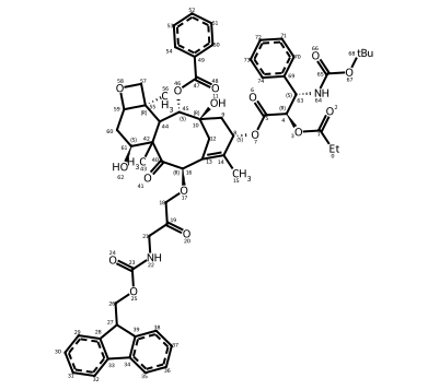 CCC(=O)O[C@@H](C(=O)O[C@H]1C[C@]2(O)CC(=C1C)[C@@H](OCC(=O)CNC(=O)OCC1c3ccccc3-c3ccccc31)C(=O)C1(C)C([C@@H]2OC(=O)c2ccccc2)[C@]2(C)COC2C[C@@H]1O)[C@@H](NC(=O)OC(C)(C)C)c1ccccc1